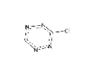 Clc1nncnn1